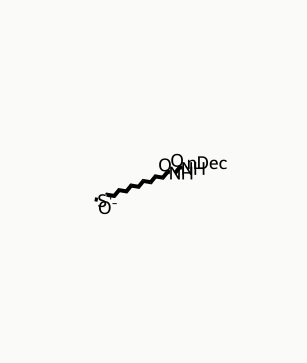 CCCCCCCCCCNC(=O)NC(=O)CCCCCCCCCC[S+](C)[O-]